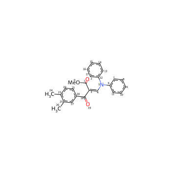 COC(=O)C(=CN(c1ccccc1)c1ccccc1)C(=O)c1ccc(C)c(C)c1